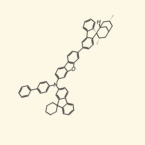 C[C@@H]1CC2C[C@@H](C1)[C@@]1(c3ccccc3-c3cc(-c4ccc5c(c4)oc4cc(N(c6ccc(-c7ccccc7)cc6)c6ccc7c(c6)C6(CCCCC6)c6ccccc6-7)ccc45)ccc31)[C@@H](C)C2